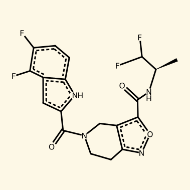 C[C@@H](NC(=O)c1onc2c1CN(C(=O)c1cc3c(F)c(F)ccc3[nH]1)CC2)C(F)F